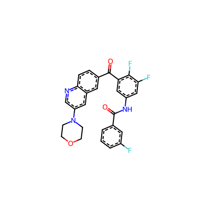 O=C(Nc1cc(F)c(F)c(C(=O)c2ccc3ncc(N4CCOCC4)cc3c2)c1)c1cccc(F)c1